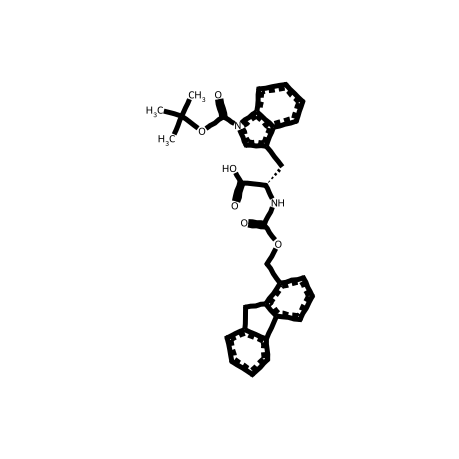 CC(C)(C)OC(=O)n1cc(C[C@H](NC(=O)OCc2cccc3c2Cc2ccccc2-3)C(=O)O)c2ccccc21